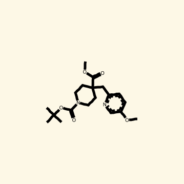 COC(=O)C1(Cc2ccc(OC)cn2)CCN(C(=O)OC(C)(C)C)CC1